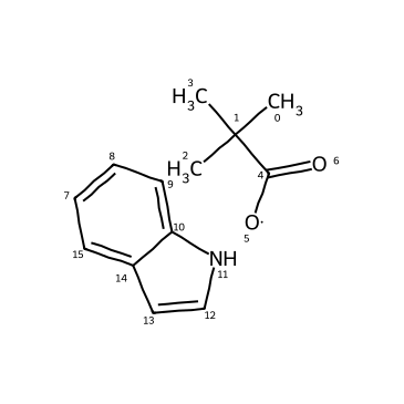 CC(C)(C)C([O])=O.c1ccc2[nH]ccc2c1